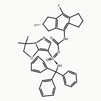 CC1(C)COc2c([S@@](=O)(=NC(=O)Nc3c4c(c(F)c5c3C[C@H](F)C5)CCC4)NC(c3ccccc3)(c3ccccc3)c3ccccc3)cnn21